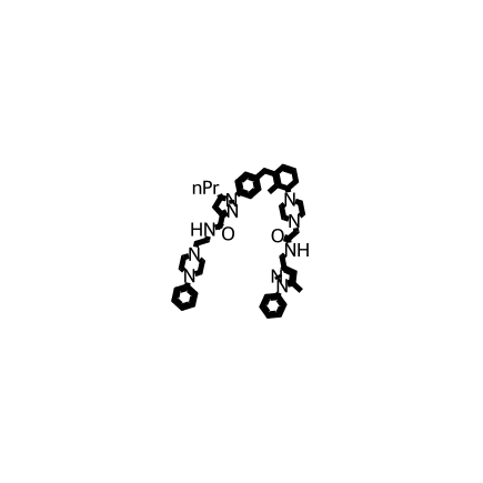 CCCC1CC(C(=O)NCCN2CCN(c3ccccc3)CC2)=NN1c1ccc(CC2=C(C)C(N3CCN(CC(=O)NCc4cc(C)n(-c5ccccc5)n4)CC3)CC=C2)cc1